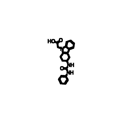 O=C(O)Cn1c2c(c3ccccc31)CC(NC(=O)Nc1ccccc1)CC2